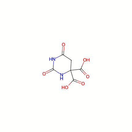 O=C1CC(C(=O)O)(C(=O)O)NC(=O)N1